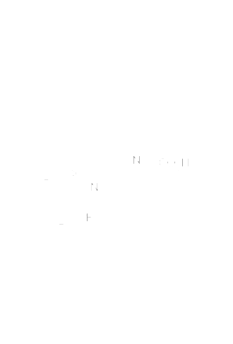 O=C(O)Cn1c(-c2ccccc2)c(Cc2nc3c(F)c(F)cc(F)c3s2)c2ccccc21